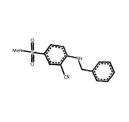 CNS(=O)(=O)c1ccc(NCc2ccccc2)c(C#N)c1